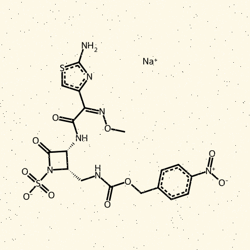 CON=C(C(=O)N[C@H]1C(=O)N(S(=O)(=O)[O-])[C@H]1CNC(=O)OCc1ccc([N+](=O)[O-])cc1)c1csc(N)n1.[Na+]